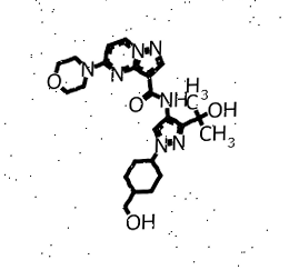 CC(C)(O)c1nn(C2CCC(CO)CC2)cc1NC(=O)c1cnn2ccc(N3CCOCC3)nc12